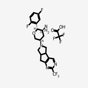 N[C@H]1C[C@@H](N2CC3Cc4nc(C(F)(F)F)ncc4C3C2)CO[C@@H]1c1cc(F)ccc1F.O=C(O)C(F)(F)F